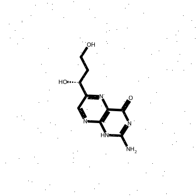 Nc1nc(=O)c2nc([C@H](O)CCO)cnc2[nH]1